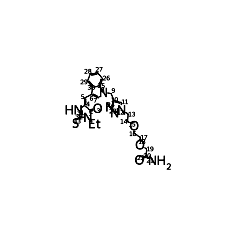 CCN1C(=O)C(=Cc2cn(Cc3cn(CCOCCOCC(N)=O)nn3)c3ccccc23)NC1=S